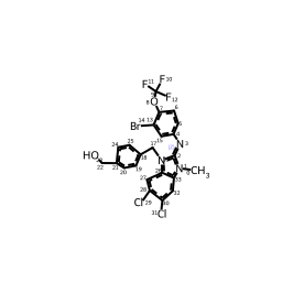 Cn1/c(=N/c2ccc(OC(F)(F)F)c(Br)c2)n(Cc2ccc(CO)cc2)c2cc(Cl)c(Cl)cc21